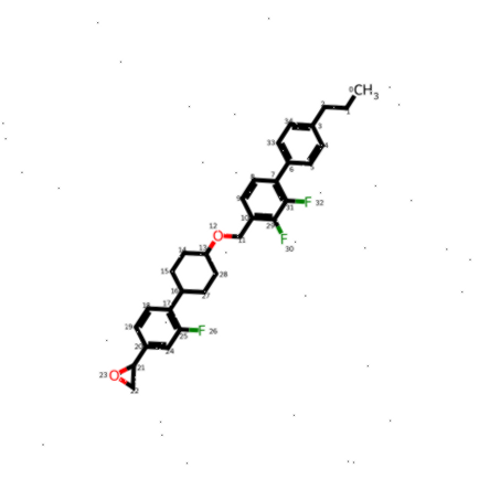 CCCc1ccc(-c2ccc(COC3CCC(c4ccc(C5CO5)cc4F)CC3)c(F)c2F)cc1